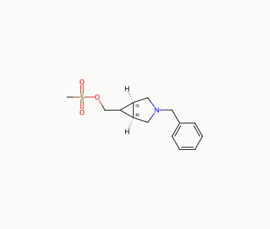 CS(=O)(=O)OCC1[C@H]2CN(Cc3ccccc3)C[C@@H]12